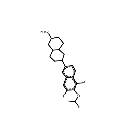 CCCCCCC1CCC2CC(c3ccc4c(F)c(OC(F)F)c(F)cc4c3)CCC2C1